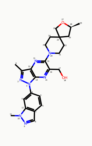 Cc1nn(-c2ccc3cnn(C)c3c2)c2nc(CO)c(N3CCC4(CC3)CO[C@@H](C)C4)nc12